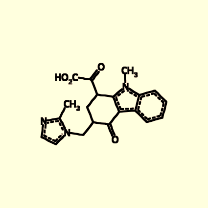 Cc1nccn1CC1CC(C(=O)C(=O)O)c2c(c3ccccc3n2C)C1=O